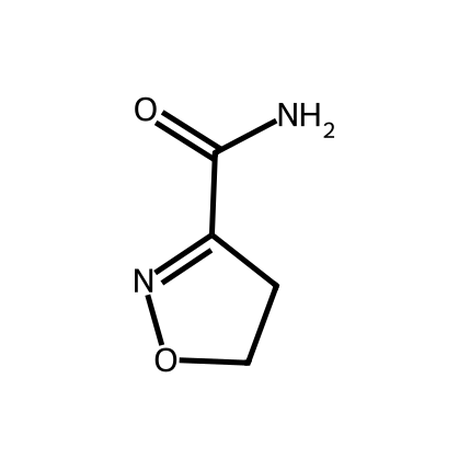 NC(=O)C1=NOCC1